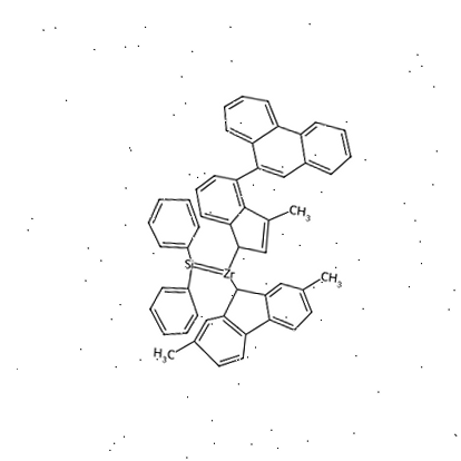 CC1=C[CH]([Zr]([CH]2c3cc(C)ccc3-c3ccc(C)cc32)=[Si](c2ccccc2)c2ccccc2)c2cccc(-c3cc4ccccc4c4ccccc34)c21